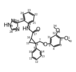 COc1ccc(OCC2(c3ccccc3)CC2C(=O)Nc2ccccc2-c2nc[nH]n2)cc1OC